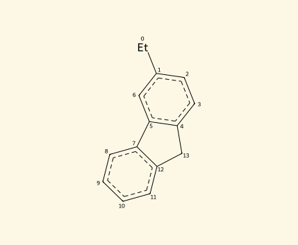 [CH2]Cc1ccc2c(c1)-c1ccccc1C2